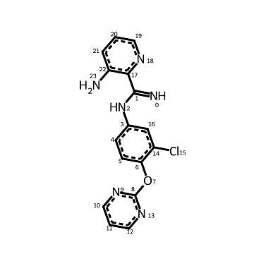 N=C(Nc1ccc(Oc2ncccn2)c(Cl)c1)c1ncccc1N